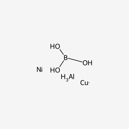 OB(O)O.[AlH3].[Cu].[Ni]